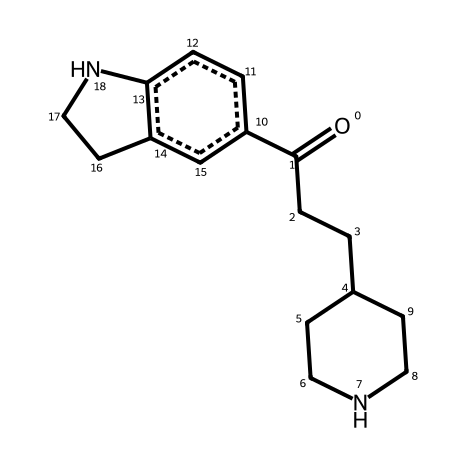 O=C(CCC1CCNCC1)c1ccc2c(c1)CCN2